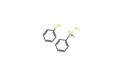 Cc1ccccc1.S.S.Sc1ccccc1